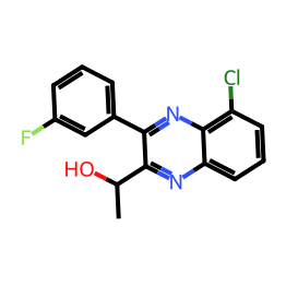 CC(O)c1nc2cccc(Cl)c2nc1-c1cccc(F)c1